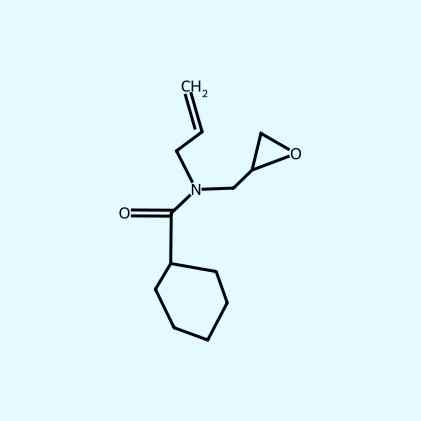 C=CCN(CC1CO1)C(=O)C1CCCCC1